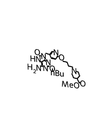 CCCCOc1nc(N)c2[nH]c(=O)n(Cc3ccc(OCCCCN4CCC(C(=O)OC)CC4)nc3)c2n1